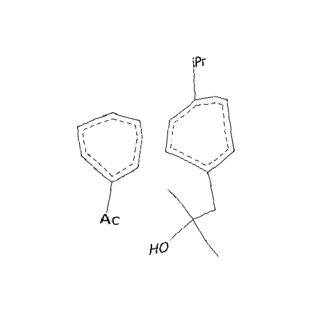 CC(=O)c1ccccc1.CC(C)c1ccc(CC(C)(C)O)cc1